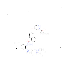 CNC(=O)c1cc(Oc2ccc3c(C(=O)Nc4cc(C(F)(F)F)ccc4N(C)CCCN(C)C)cccc3c2)ccn1